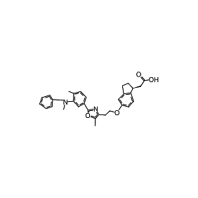 Cc1ccc(-c2nc(CCOc3ccc4c(c3)CC[C@H]4CC(=O)O)c(C)o2)cc1N(C)Cc1ccccc1